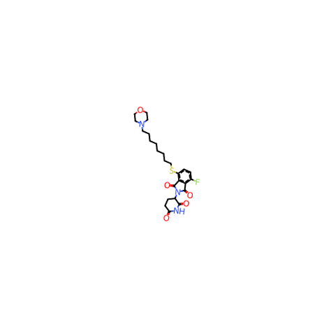 O=C1CCC(N2C(=O)c3c(F)ccc(SCCCCCCCCN4CCOCC4)c3C2=O)C(=O)N1